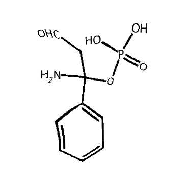 NC(CC=O)(OP(=O)(O)O)c1ccccc1